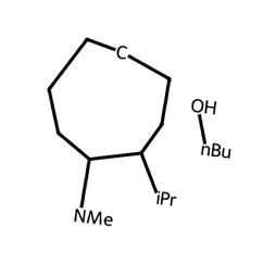 CCCCO.CNC1CCCCCCC1C(C)C